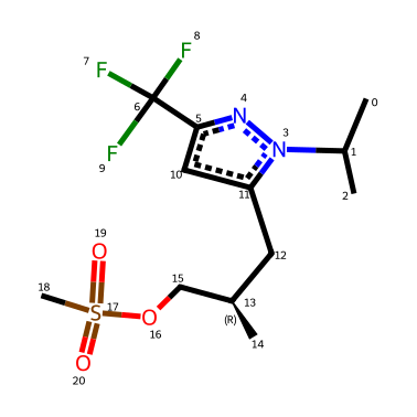 CC(C)n1nc(C(F)(F)F)cc1C[C@@H](C)COS(C)(=O)=O